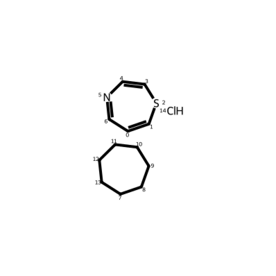 C1=CSC=CN=C1.C1CCCCCC1.Cl